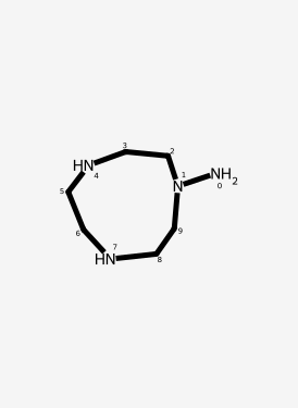 NN1CCNCCNCC1